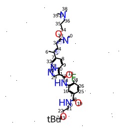 C=N/C(=C\C=C(/C)c1ccc2c(C(=O)Nc3cc(C(=O)NCCOC(C)(C)C)ccc3F)cnn2c1)OCCCN(C)C